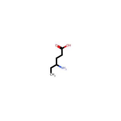 CCC(N)CCC(=O)O